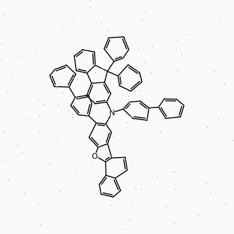 c1ccc(-c2ccc(-c3cc4oc5c6ccccc6ccc5c4cc3N(c3ccc(-c4ccccc4)cc3)c3ccc4c(c3)C(c3ccccc3)(c3ccccc3)c3ccccc3-4)cc2)cc1